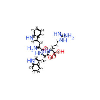 N=C(N)NCCC[C@H](NC(=O)[C@H](Cc1c[nH]c2ccccc12)NC(=O)[C@@H](N)Cc1c[nH]c2ccccc12)C(=O)O